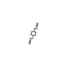 N#COC[C@H]1CC[C@@H](COC#N)CC1